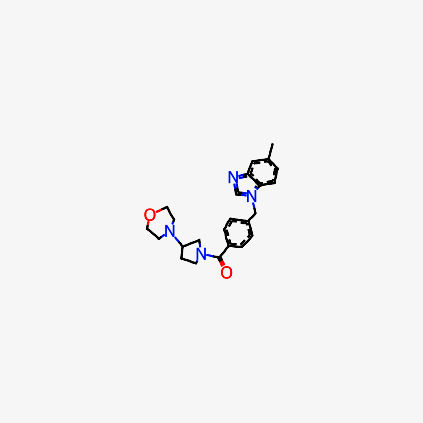 Cc1ccc2c(c1)ncn2Cc1ccc(C(=O)N2CCC(N3CCOCC3)C2)cc1